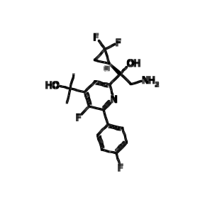 CC(C)(O)c1cc(C(O)(CN)[C@H]2CC2(F)F)nc(-c2ccc(F)cc2)c1F